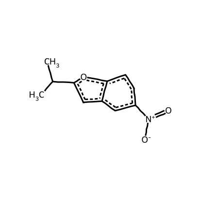 CC(C)c1cc2cc([N+](=O)[O-])ccc2o1